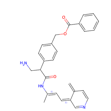 C=c1ccnc/c1=C/C=C(\C)NC(=O)C(CN)c1ccc(COC(=O)c2ccccc2)cc1